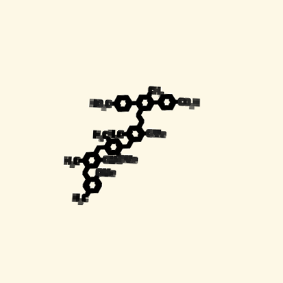 COc1cc(Cc2cc(C)c(Cc3cc(C)c(Cc4cc(C)ccc4OC)cc3OC)cc2OC)c(C)cc1CCc1cc(-c2ccc(C(=O)O)cc2)c(C)cc1-c1ccc(C(=O)O)cc1